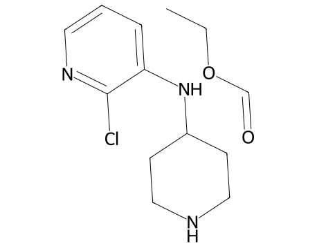 CCOC=O.Clc1ncccc1NC1CCNCC1